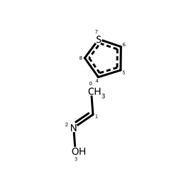 CC=NO.c1ccsc1